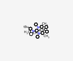 Cc1cc2c3c(c1)[Si](c1ccccc1)(c1ccccc1)c1cc(C)cc4c1B3c1c(cc(N3c5ccc(C(C)(C)C)cc5C5(C)CCCCC35C)cc1N4c1ccccc1)N2c1ccccc1